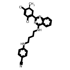 C[C@H]1CC(c2nc(NCCCCNc3ccc(C#N)cc3)c3ccccc3n2)=C(Cl)C=C1Cl